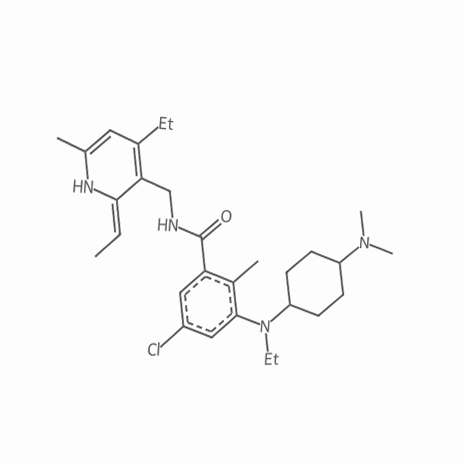 C/C=C1\NC(C)=CC(CC)=C1CNC(=O)c1cc(Cl)cc(N(CC)C2CCC(N(C)C)CC2)c1C